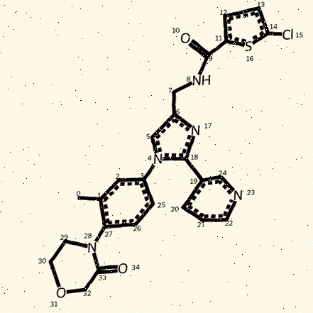 Cc1cc(-n2cc(CNC(=O)c3ccc(Cl)s3)nc2-c2cccnc2)ccc1N1CCOCC1=O